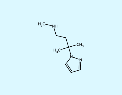 CNCCC(C)(C)n1cccn1